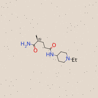 CCN1CCC(NC(=O)[CH]C[C@H](C)C(N)=O)CC1